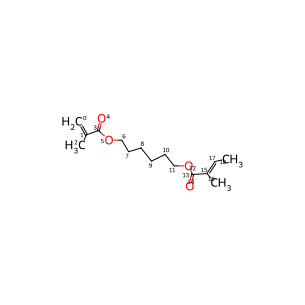 C=C(C)C(=O)OCCCCCCOC(=O)C(C)=CC